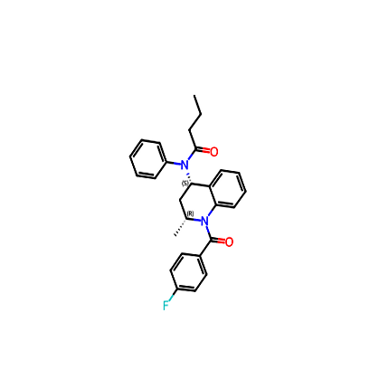 CCCC(=O)N(c1ccccc1)[C@H]1C[C@@H](C)N(C(=O)c2ccc(F)cc2)c2ccccc21